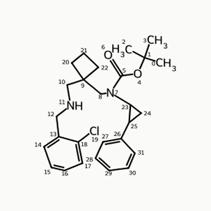 CC(C)(C)OC(=O)N(CC1(CNCc2ccccc2Cl)CCC1)C1CC1c1ccccc1